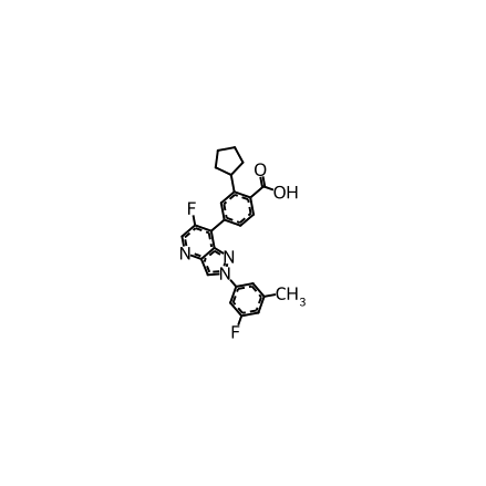 Cc1cc(F)cc(-n2cc3ncc(F)c(-c4ccc(C(=O)O)c(C5CCCC5)c4)c3n2)c1